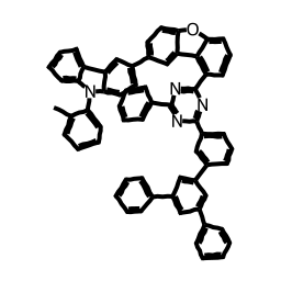 Cc1ccccc1-n1c2ccccc2c2cc(-c3ccc4oc5cccc(-c6nc(-c7ccccc7)nc(-c7cccc(-c8cc(-c9ccccc9)cc(-c9ccccc9)c8)c7)n6)c5c4c3)ccc21